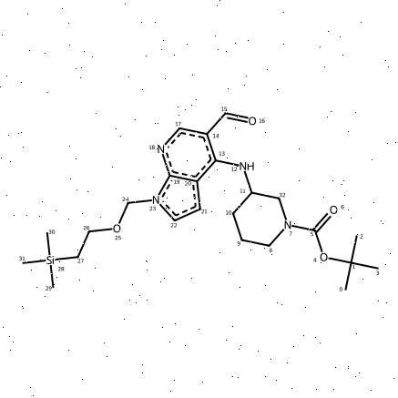 CC(C)(C)OC(=O)N1CCCC(Nc2c(C=O)cnc3c2ccn3COCC[Si](C)(C)C)C1